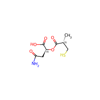 C[C@H](CS)C(=O)O[C@@H](CC(N)=O)C(=O)O